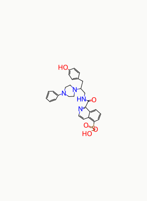 O=C(NCC(Cc1ccc(O)cc1)N1CCN(c2ccccc2)CC1)c1nccc2c(S(=O)(=O)O)cccc12